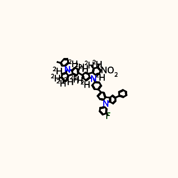 [2H]c1c([2H])c([2H])c2c(c1[2H])c1c([2H])c(-c3c([2H])c([2H])c4c(c3[2H])c3c([2H])c([2H])c([N+](=O)[O-])c([2H])c3n4-c3ccc(-c4ccc5c(c4)c4cc(-c6ccccc6)ccc4n5-c4cccc(F)c4)cc3)c([2H])c([2H])c1n2-c1cccc(C)c1